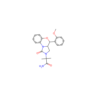 COc1ccccc1C1Oc2ccccc2N2C(=O)N(C(C)(C)C(N)=O)CC12